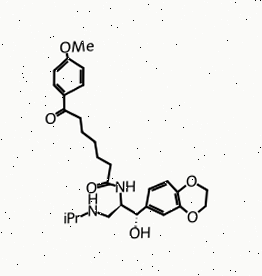 COc1ccc(C(=O)CCCCCC(=O)N[C@H](CNC(C)C)[C@@H](O)c2ccc3c(c2)OCCO3)cc1